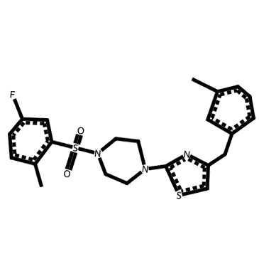 Cc1cccc(Cc2csc(N3CCN(S(=O)(=O)c4cc(F)ccc4C)CC3)n2)c1